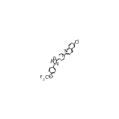 FC(F)(F)Oc1ccc(-c2noc(C3CCN(c4ccc5cc(Cl)ccc5n4)CC3)n2)cc1